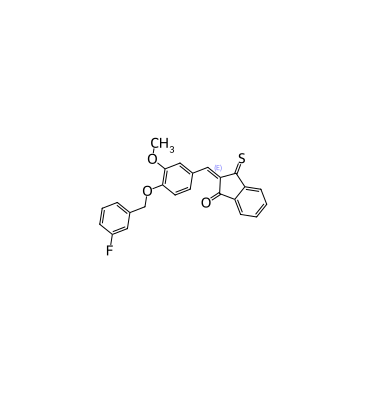 COc1cc(/C=C2\C(=O)c3ccccc3C2=S)ccc1OCc1cccc(F)c1